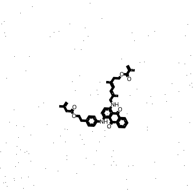 C=C(C)CC(=O)OCCc1ccc(Nc2ccc(NC/C(C)=C/C=C(\C)CCOC(=O)C(=C)C)c3c2C(=O)c2ccccc2C3=O)cc1